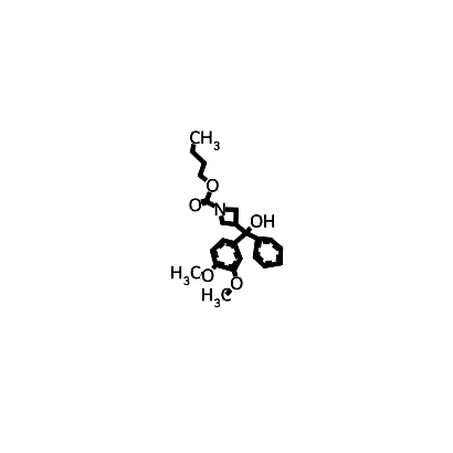 CCCCOC(=O)N1CC(C(O)(c2ccccc2)c2ccc(OC)c(OC)c2)C1